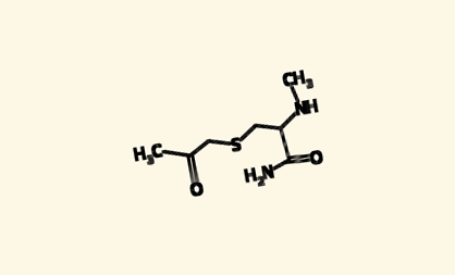 CNC(CSCC(C)=O)C(N)=O